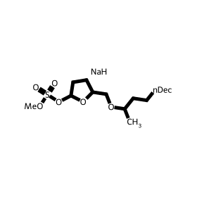 CCCCCCCCCCCCC(C)OCC1CCC(OS(=O)(=O)OC)O1.[NaH]